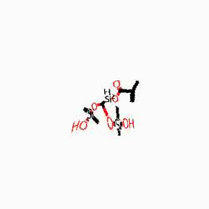 C=C(C)C(=O)O[SiH2]C(O[Si](C)(C)O)O[Si](C)(C)O